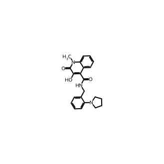 Cn1c(=O)c(O)c(C(=O)NCc2ccccc2N2CCCC2)c2ccccc21